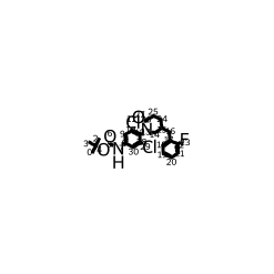 CC(C)(C)OC(=O)Nc1cc(Cl)c(N2CC(Cc3ccccc3F)CCC2=O)c(Cl)c1